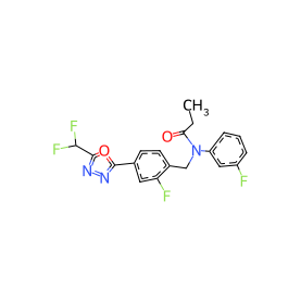 CCC(=O)N(Cc1ccc(-c2nnc(C(F)F)o2)cc1F)c1cccc(F)c1